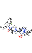 C[C@@H](c1ccccc1F)N1C(=O)[C@@H]2CC1CN2C[C@H](N)C(=O)N1C2C[C@H]2C[C@H]1C#N